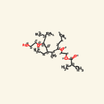 CCCC(OCCOC(=O)C(C)C)C(C)C(CC)CC(OCCO)C(C)C